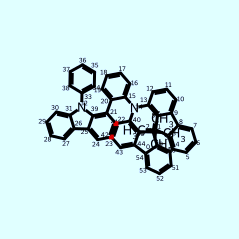 CC1(C)c2ccccc2-c2cccc(N(c3ccccc3-c3cccc4c5ccccc5n(-c5ccccc5)c34)c3cccc4c3C(C)(C)c3ccccc3-4)c21